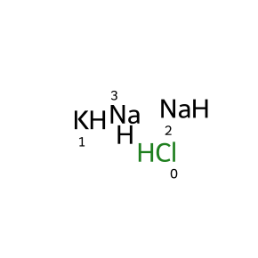 Cl.[KH].[NaH].[NaH]